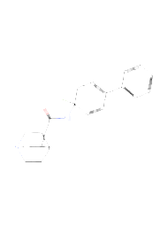 O=C(NC1(F)C=CC(c2ccccc2)=CC1)C1CN2CCC1CC2